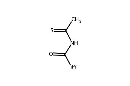 CC(=S)NC(=O)C(C)C